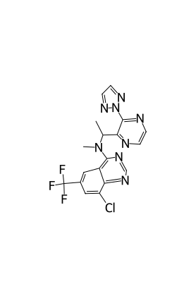 CC(c1nccnc1-n1nccn1)N(C)c1ncnc2c(Cl)cc(C(F)(F)F)cc12